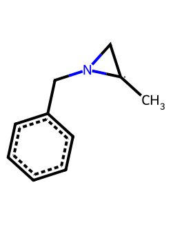 C[C]1CN1Cc1ccccc1